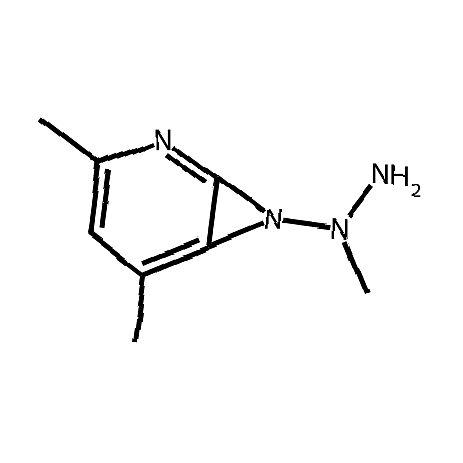 Cc1cc(C)c2c(n1)N2N(C)N